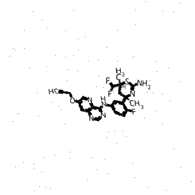 C#CCOc1cnc2c(Nc3ccc(F)c([C@]4(C)C[C@](C)(C(F)F)SC(N)=N4)c3)ncnc2c1